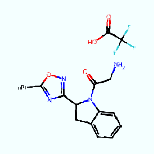 CCCc1nc(C2Cc3ccccc3N2C(=O)CN)no1.O=C(O)C(F)(F)F